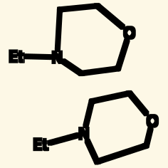 CCN1CCOCC1.CCN1CCOCC1